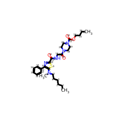 CCCCCCN(C)c1sc(C(=O)NCC(=O)N2CCN(C(=O)OCCCC)CC2)nc1-c1ccccc1